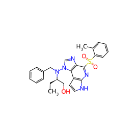 CC[C@H](CO)N(Cc1ccccc1)n1cnc2c(S(=O)(=O)c3ccccc3C)nc3[nH]ccc3c21